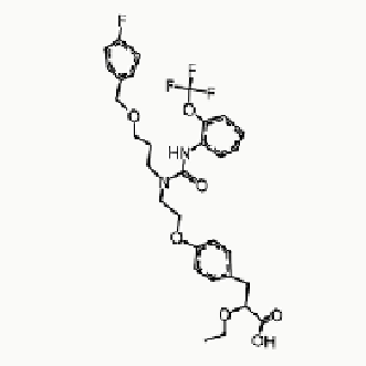 CCOC(Cc1ccc(OCCN(CCCOCc2ccc(F)cc2)C(=O)Nc2ccccc2OC(F)(F)F)cc1)C(=O)O